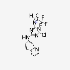 C/C(=N/c1nc(Cl)nc(Nc2ccc3cccnc3c2)n1)C(F)(F)F